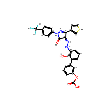 O=C(O)Oc1cccc(-c2cccc(NN=C3C(=O)N(c4ccc(C(F)(F)F)cc4)N=C3c3ccsc3)c2O)c1